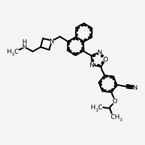 CNCC1CN(Cc2ccc(-c3noc(-c4ccc(OC(C)C)c(C#N)c4)n3)c3ccccc23)C1